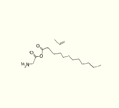 C=CC.CCCCCCCCCCCC(=O)OC(=O)CN